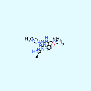 CN1CCN(c2nc(Nc3cc(C4CC4)[nH]n3)nc(NC(CC(=O)N(C)C)c3ccccc3)n2)CC1